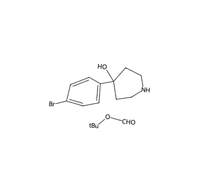 CC(C)(C)OC=O.OC1(c2ccc(Br)cc2)CCNCC1